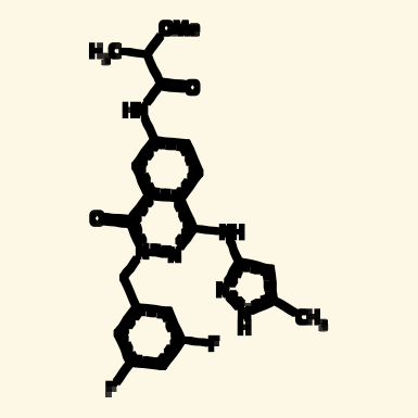 COC(C)C(=O)Nc1ccc2c(Nc3cc(C)[nH]n3)nn(Cc3cc(F)cc(F)c3)c(=O)c2c1